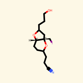 N#CCCC1CC[C@@H]2OC(CCCO)C[C@]2(CI)O1